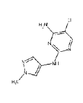 Cn1cc(Nc2ncc(Cl)c(N)n2)cn1